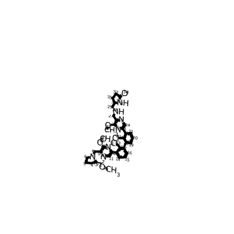 COC[C@H]1CCCN1Cc1ncc(-c2cccc(-c3cccc(-c4cnc(CNCC5CCC(=O)N5)c(OC)n4)c3Cl)c2Cl)nc1OC